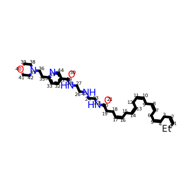 CC/C=C\C/C=C\C/C=C\C/C=C\C/C=C\C/C=C\CCC(=O)NCCNCCNC(=O)c1ccc(CCN2CCOCC2)nc1